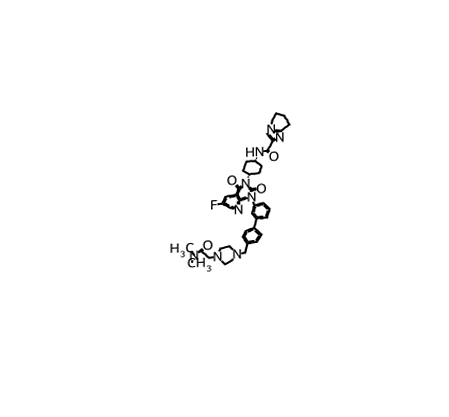 CN(C)C(=O)CN1CCN(Cc2ccc(-c3cccc(-n4c(=O)n([C@H]5CC[C@@H](NC(=O)c6cn7c(n6)CCCC7)CC5)c(=O)c5cc(F)cnc54)c3)cc2)CC1